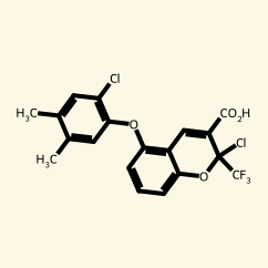 Cc1cc(Cl)c(Oc2cccc3c2C=C(C(=O)O)C(Cl)(C(F)(F)F)O3)cc1C